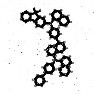 CC1(C)c2ccccc2-c2ccc(N(c3ccc(-c4cccc5c(N(c6ccc(-c7ccccc7)cc6)c6cccc7ccccc67)cccc45)cc3)c3cccc4ccccc34)cc21